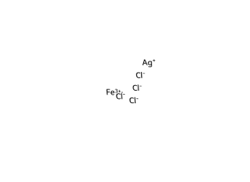 [Ag+].[Cl-].[Cl-].[Cl-].[Cl-].[Fe+3]